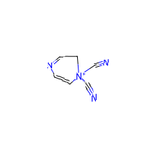 N#C[N+]1(C#N)C=CN=CC1